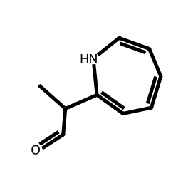 CC(C=O)C1=CC=CC=CN1